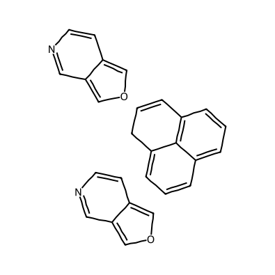 C1=Cc2cccc3cccc(c23)C1.c1cc2cocc2cn1.c1cc2cocc2cn1